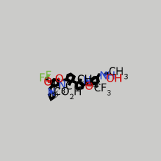 Cc1c(-c2nc3cc(CN4CCC[C@H]4C(=O)O)c(OC(F)F)cc3o2)cccc1-c1cccc(-c2nc3cc(CNCC(C)O)cc(C(F)(F)F)c3o2)c1C